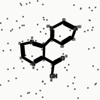 O=C(O)c1nccnc1-c1ccncn1